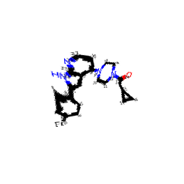 CCc1ccc(-c2cc3c(N4CCN(C(=O)C5CC5)CC4)ccnc3[nH]2)cc1